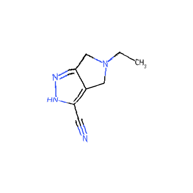 CCN1Cc2n[nH]c(C#N)c2C1